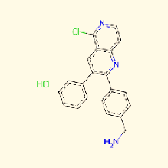 Cl.NCc1ccc(-c2nc3ccnc(Cl)c3cc2-c2ccccc2)cc1